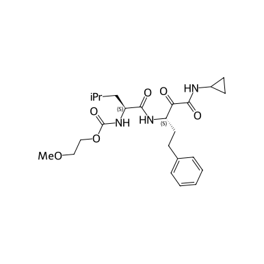 COCCOC(=O)N[C@@H](CC(C)C)C(=O)N[C@@H](CCc1ccccc1)C(=O)C(=O)NC1CC1